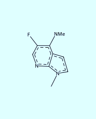 CNc1c(F)cnc2c1ccn2C